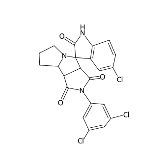 O=C1C2C3CCCN3C3(C(=O)Nc4ccc(Cl)cc43)C2C(=O)N1c1cc(Cl)cc(Cl)c1